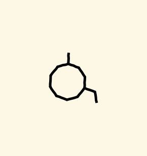 CCC1CCCCCC[C](C)CC1